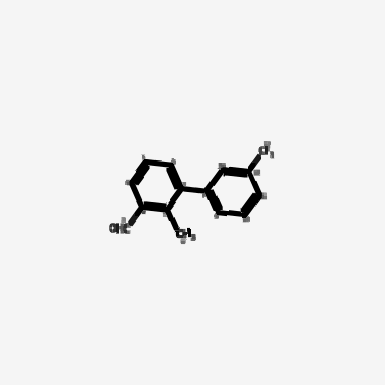 Cc1c(C=O)cccc1-c1cccc(C(F)(F)F)c1